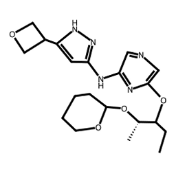 CCC(Oc1cncc(Nc2cc(C3COC3)[nH]n2)n1)[C@H](C)OC1CCCCO1